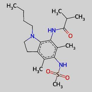 CCCCN1CCc2c(C)c(NS(C)(=O)=O)c(C)c(NC(=O)C(C)C)c21